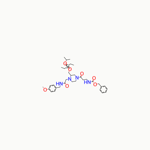 CC[Si](CC)(OCC1CN(C(=O)CCNC(=O)OCc2ccccc2)CCN1CC(=O)NCc1ccc(OC)cc1)OC(C)C